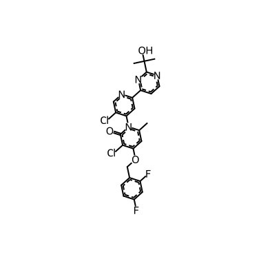 Cc1cc(OCc2ccc(F)cc2F)c(Cl)c(=O)n1-c1cc(-c2ccnc(C(C)(C)O)n2)ncc1Cl